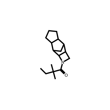 CCC(C)(C)C(=O)N1CC2C3CC(C4CCCC43)C21